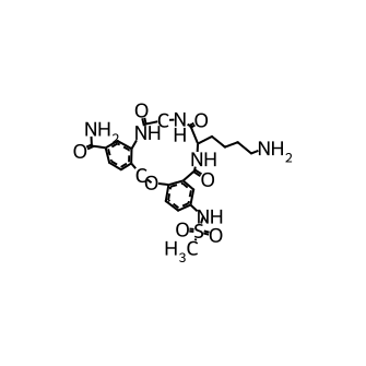 CS(=O)(=O)Nc1ccc2c(c1)C(=O)NC(CCCCN)C(=O)NCC(=O)Nc1cc(C(N)=O)ccc1CO2